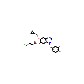 O=C(C=CCBr)Nc1cc2c(Nc3ccc(F)c(Cl)c3)ncnc2cc1OCC1CC1